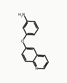 Nc1cccc(Oc2ccc3ncccc3c2)c1